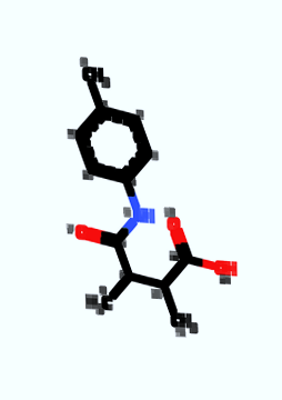 Cc1ccc(NC(=O)C(C)C(C)C(=O)O)cc1